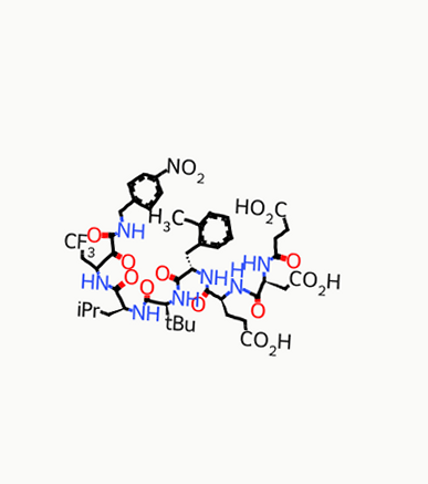 Cc1ccccc1C[C@H](NC(=O)[C@H](CCC(=O)O)NC(=O)[C@H](CC(=O)O)NC(=O)CCC(=O)O)C(=O)N[C@H](C(=O)N[C@@H](CC(C)C)C(=O)NC(CC(F)(F)F)C(=O)C(=O)NCc1ccc([N+](=O)[O-])cc1)C(C)(C)C